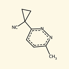 Cc1ccc(C2(C#N)CC2)nn1